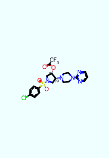 O=C(O[C@H]1CN(S(=O)(=O)c2ccc(Cl)cc2)C[C@@H]1N1CCN(c2ncccn2)CC1)C(F)(F)F